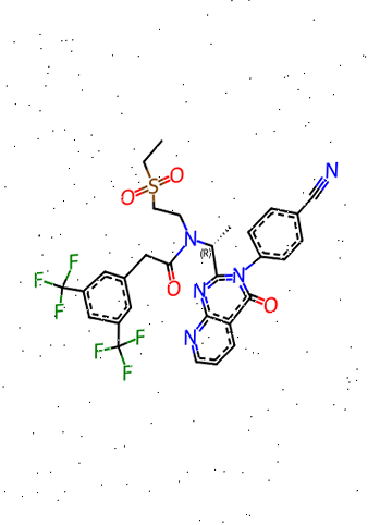 CCS(=O)(=O)CCN(C(=O)Cc1cc(C(F)(F)F)cc(C(F)(F)F)c1)[C@H](C)c1nc2ncccc2c(=O)n1-c1ccc(C#N)cc1